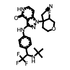 CC(C)(C)NC(c1ccc(Nc2nn(C3(CC#N)CCOCC3F)c3cc[nH]c(=O)c23)cc1)C(F)(F)F